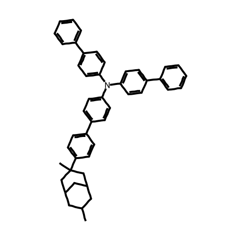 CC1CC2CC(C1)CC(C)(c1ccc(-c3ccc(N(c4ccc(-c5ccccc5)cc4)c4ccc(-c5ccccc5)cc4)cc3)cc1)C2